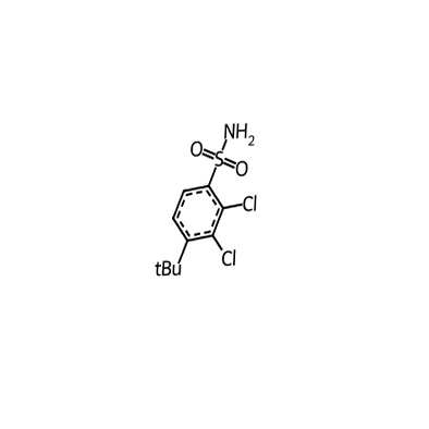 CC(C)(C)c1ccc(S(N)(=O)=O)c(Cl)c1Cl